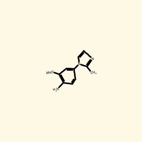 COc1cc(-n2ccnc2C)ccc1N